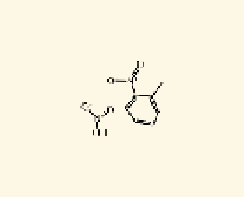 Cc1ccccc1[N+](=O)[O-].O=[N+]([O-])O